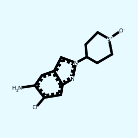 Nc1cc2cn(C3CC[S+]([O-])CC3)nc2cc1Cl